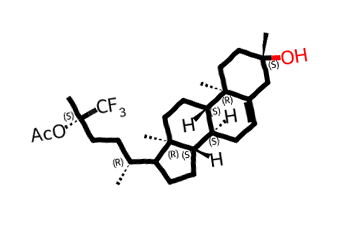 CC(=O)O[C@@](C)(CC[C@@H](C)C1CC[C@H]2[C@@H]3CC=C4C[C@@](C)(O)CC[C@]4(C)[C@H]3CC[C@]12C)C(F)(F)F